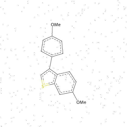 COc1ccc(-c2csc3cc(OC)ccc23)cc1